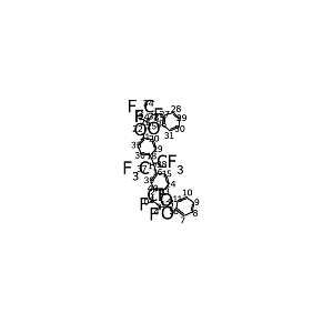 FC(C(F)(F)F)C(F)(Oc1ccccc1)Oc1ccc(C(c2ccc(OC(F)(Oc3ccccc3)C(F)C(F)(F)F)cc2)(C(F)(F)F)C(F)(F)F)cc1